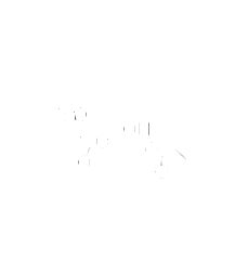 C=C(C)C(=O)OCC(O)COC(=O)C(C)(COC(C)(C)C)COC(C)(C)C